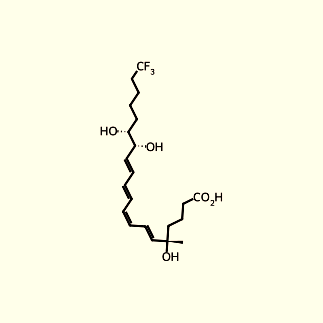 C[C@@](O)(/C=C/C=C\C=C\C=C\[C@@H](O)[C@H](O)CCCCC(F)(F)F)CCCC(=O)O